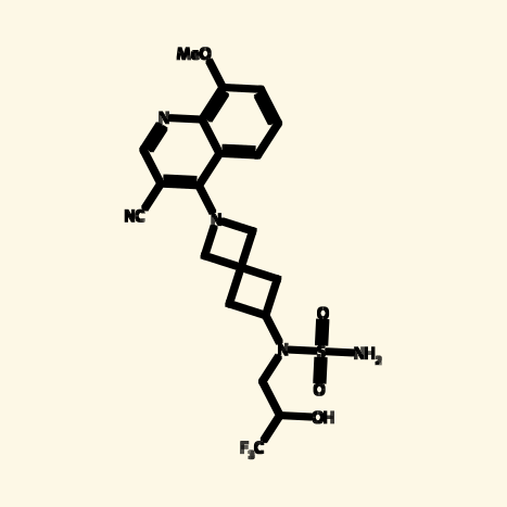 COc1cccc2c(N3CC4(CC(N(CC(O)C(F)(F)F)S(N)(=O)=O)C4)C3)c(C#N)cnc12